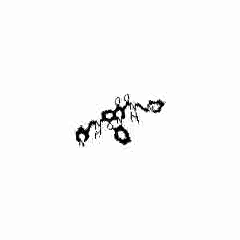 O=C(NCCN1CCCC1)c1cn2c3c(c(NCc4cccnc4)ccc3c1=O)Oc1ccccc1-2